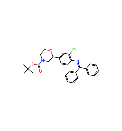 CC(C)(C)OC(=O)N1CCOC(c2ccc(N=C(c3ccccc3)c3ccccc3)c(Cl)c2)C1